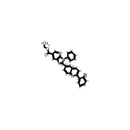 CCOC(=O)c1cnc2c(c1)nc(-c1ccc3nc(-c4ccccc4Br)ccc3c1)n2-c1ccccc1